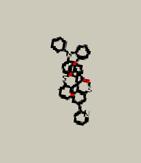 c1ccc(-n2c3ccccc3c3c(-c4cccc5c4C4(c6ccccc6Sc6ccccc64)c4ccc(-c6ccccn6)cc4S5)cccc32)cc1